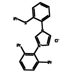 CC(C)Sc1ccccc1-n1cc[n+](-c2c(C(C)C)cccc2C(C)C)c1.[Cl-]